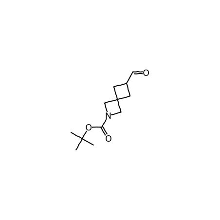 CC(C)(C)OC(=O)N1CC2(CC(C=O)C2)C1